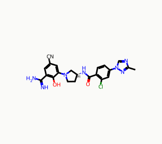 Cc1ncn(-c2ccc(C(=O)N[C@@H]3CCN(c4cc(C#N)cc(C(=N)N)c4O)C3)c(Cl)c2)n1